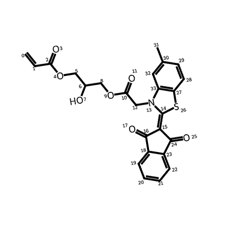 C=CC(=O)OCC(O)COC(=O)CN1C(=C2C(=O)c3ccccc3C2=O)Sc2ccc(C)cc21